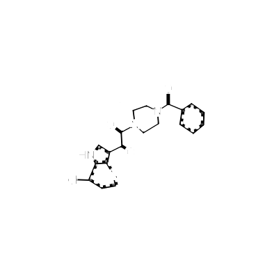 C[C@@H]1CN(C(=O)c2ccccc2)CCN1C(=O)C(=O)c1c[nH]c2c(Cl)ccnc12